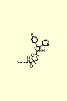 CCCCNC(=O)C1(C)COC(c2nc(-c3ccc(F)cc3)c(-c3ccncc3)[nH]2)OC1